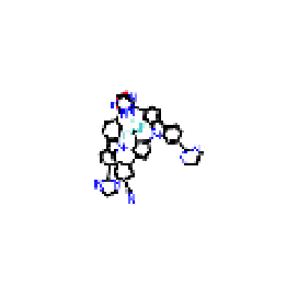 N#Cc1cccc(-c2ccc(-n3c4cc(-c5ncccn5)ccc4c4ccc(-c5ncccn5)cc43)c(C(F)(F)F)c2-n2c3cc(-c4ncccn4)ccc3c3ccc(-c4ncccn4)cc32)c1